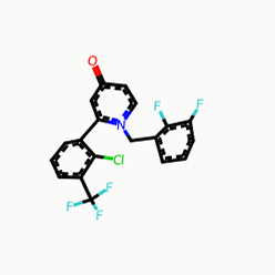 O=c1ccn(Cc2cccc(F)c2F)c(-c2cccc(C(F)(F)F)c2Cl)c1